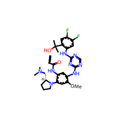 C=CC(=O)Nc1cc(Nc2ncnc(Nc3cc(F)c(F)cc3C(C)(C)O)n2)c(OC)cc1N1CCC[C@@H]1CN(C)C